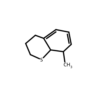 CC1C=CC=C2CCCSC21